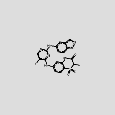 CC1C(=O)Nc2cc(Nc3nc(Nc4ccc5oncc5c4)ncc3F)ccc2S1(=O)=O